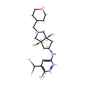 FC(F)c1cc(N[C@H]2C[C@@H]3CN(CC4CCOCC4)C[C@@H]3C2)nnc1Cl